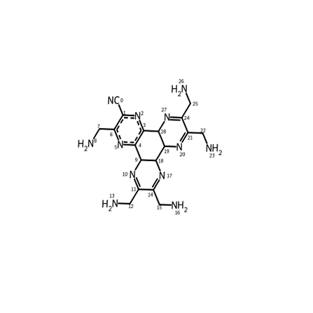 N#Cc1nc2c(nc1CN)C1N=C(CN)C(CN)=NC1C1N=C(CN)C(CN)=NC21